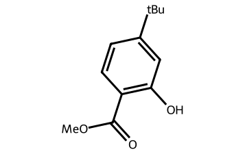 COC(=O)c1ccc(C(C)(C)C)cc1O